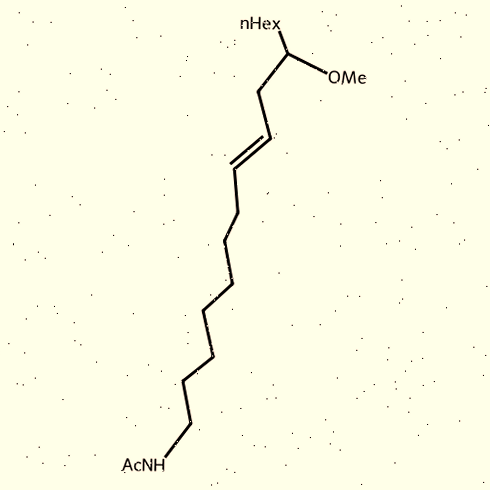 CCCCCCC(C/C=C/CCCCCCCNC(C)=O)OC